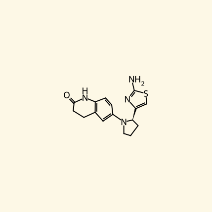 Nc1nc([C@H]2CCCN2c2ccc3c(c2)CCC(=O)N3)cs1